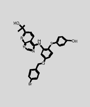 CC(C)(O)c1ccc2c(Nc3cc(OCc4ccc(Br)cc4)ccc3Sc3ccc(O)cc3)ncnc2n1